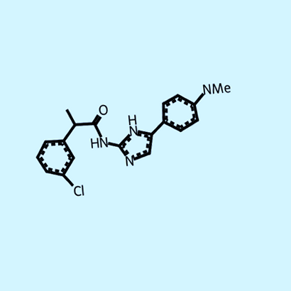 CNc1ccc(-c2cnc(NC(=O)C(C)c3cccc(Cl)c3)[nH]2)cc1